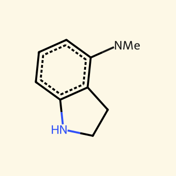 CNc1cccc2c1CCN2